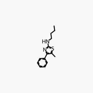 CCCCNc1nc(-c2ccccc2)c(C)s1